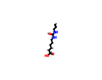 C=CCNC(=O)NCCCCCC(=O)O